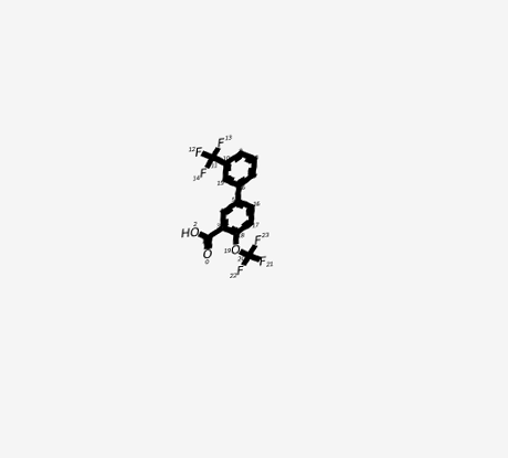 O=C(O)c1cc(-c2cccc(C(F)(F)F)c2)ccc1OC(F)(F)F